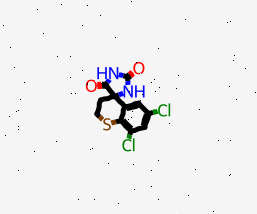 O=C1NC(=O)C2(CCSc3c(Cl)cc(Cl)cc32)N1